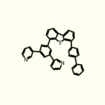 c1ccc(-c2ccc(-c3cccc4c3sc3c(-c5cc(-c6cccnc6)cc(-c6cccnc6)c5)cccc34)cc2)cc1